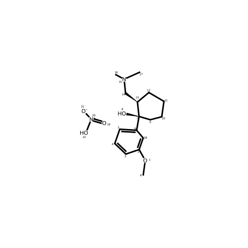 COc1cccc([C@@]2(O)CCCC[C@@H]2CN(C)C)c1.O=[N+]([O-])O